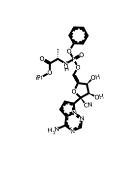 CC(C)OC(=O)[C@H](C)NP(=O)(O/C=C1/O[C@@](C#N)(c2ccc3c(N)ncnn23)[C@H](O)[C@@H]1O)Oc1ccccc1